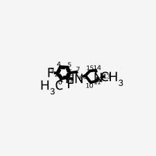 Cc1c(F)ccc(CNC2CCN(C)CC2)c1F